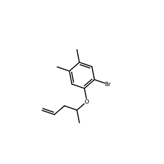 C=CCC(C)Oc1cc(C)c(C)cc1Br